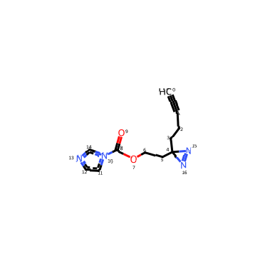 C#CCCC1(CCOC(=O)n2ccnc2)N=N1